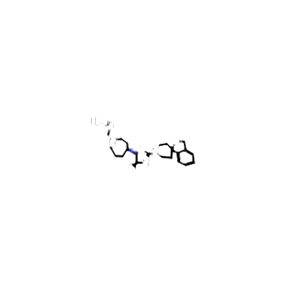 CC(C)(C)OCN1CCC/C(=C2/SC(N3CCC4(CC3)OCc3ccccc34)=NC2=O)CC1